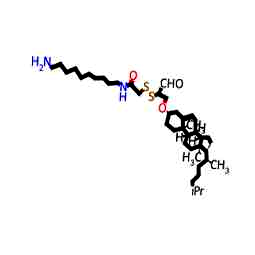 CC(C)CCC[C@@H](C)[C@H]1CC[C@H]2[C@@H]3CC=C4C[C@@H](OCC(C=O)SSCC(=O)NCCCCCCCCCCN)CC[C@]4(C)[C@H]3CC[C@]12C